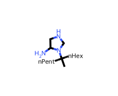 CCCCCCC(C)(CCCCC)N1CNCC1N